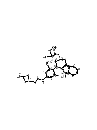 CCC1CN(CCOc2cc(F)c([C@@H]3c4[nH]c5ccccc5c4C[C@@H](C)N3CC(F)(F)CO)c(F)c2)C1